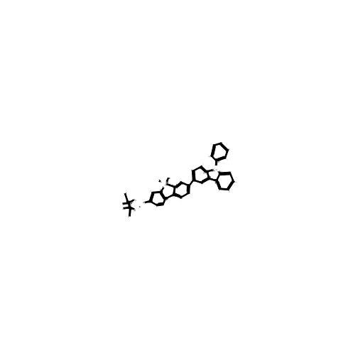 CC1(C)OB(c2ccc3c(c2)[Si](C)(C)c2cc(-c4ccc5c(c4)c4ccccc4n5-c4ccccc4)ccc2-3)OC1(C)C